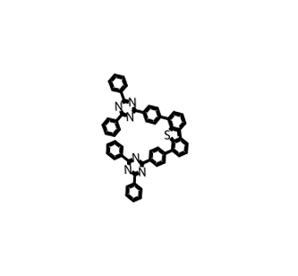 c1ccc(-c2nc(-c3ccccc3)nc(-c3ccc(-c4cccc5c4sc4c(-c6ccc(-c7nc(-c8ccccc8)nc(-c8ccccc8)n7)cc6)cccc45)cc3)n2)cc1